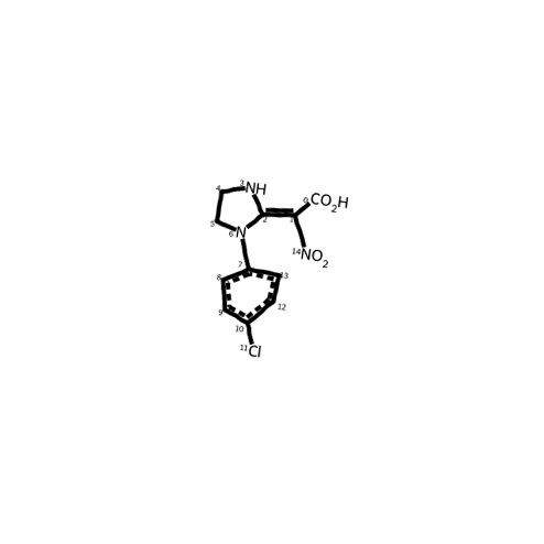 O=C(O)C(=C1NCCN1c1ccc(Cl)cc1)[N+](=O)[O-]